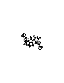 Cc1cc2cccc(-c3cccc4cc(C)c(OCC5CO5)c(C)c34)c2cc1OCC1CO1